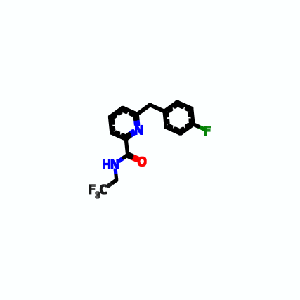 O=C(NCC(F)(F)F)c1cccc(Cc2ccc(F)cc2)n1